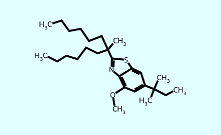 CCCCCCC(C)(CCCCCC)c1nc2c(OC)cc(C(C)(C)CC)cc2s1